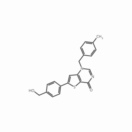 Cc1ccc(Cn2cnc(=O)c3sc(-c4ccc(CO)cc4)cc32)cc1